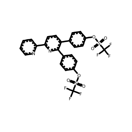 O=S(=O)(Oc1ccc(-c2ccc(-c3ccccn3)nc2-c2ccc(OS(=O)(=O)C(F)(F)F)cc2)cc1)C(F)(F)F